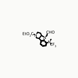 CCOC(=O)N1CCC2C(C1)c1cccc(N(C)C(F)(F)F)c1N2CC=O